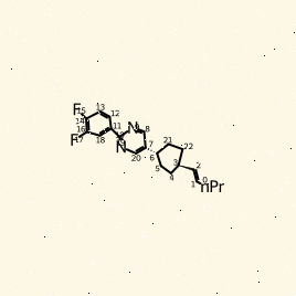 CCCC=C[C@H]1CC[C@H](c2cnc(-c3ccc(F)c(F)c3)nc2)CC1